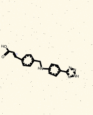 O=C(O)/C=C/c1ccc(CNc2ccc(-c3nn[nH]n3)cc2)cc1